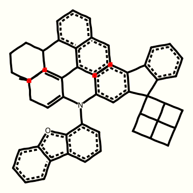 CC1C=C(c2cccc3cccc(C4CCCCC4)c23)C(N(c2ccc3c(c2)C2(c4ccccc4-3)C3CC4CC5CC2C453)c2cccc3c2oc2ccccc23)=CC1